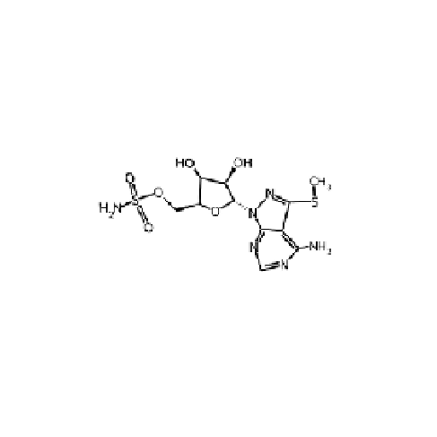 CSc1nn([C@@H]2O[C@@H](COS(N)(=O)=O)[C@@H](O)[C@H]2O)c2ncnc(N)c12